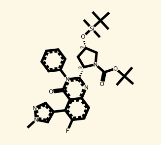 Cn1cc(-c2c(F)ccc3nc([C@@H]4C[C@H](O[Si](C)(C)C(C)(C)C)CN4C(=O)OC(C)(C)C)n(-c4ccccc4)c(=O)c23)cn1